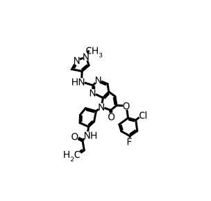 C=CC(=O)Nc1cccc(-n2c(=O)c(Oc3ccc(F)cc3Cl)cc3cnc(Nc4cnn(C)c4)nc32)c1